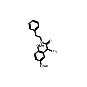 COc1ccc(OC)c(C(C)C(=O)OCCc2ccccc2)c1